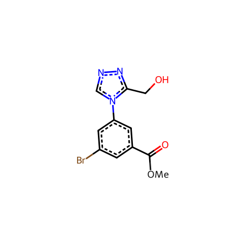 COC(=O)c1cc(Br)cc(-n2cnnc2CO)c1